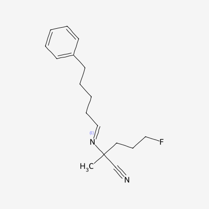 CC(C#N)(CCCF)/N=C/CCCCc1ccccc1